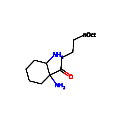 CCCCCCCCCCCC(=O)C1(N)CCCCC1N